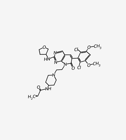 C=CC(=O)NC1CCN(CCn2c(=O)c(-c3c(Cl)c(OC)cc(OC)c3Cl)cc3cnc(NC4CCOC4)nc32)CC1